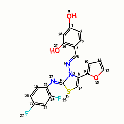 Oc1ccc(/C=N/n2c(-c3ccco3)cs/c2=N\c2ccc(F)cc2F)c(O)c1